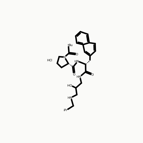 CC(C)CNCC(O)CNC(=O)[C@@H](Cc1ccc2ccccc2c1)NC(=O)[C@@H]1CCCN1C(=O)C(C)(C)C.Cl